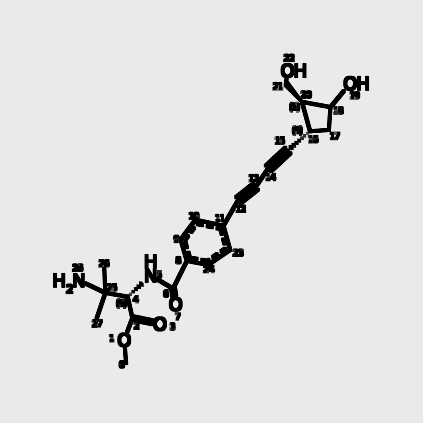 COC(=O)[C@@H](NC(=O)c1ccc(C#CC#C[C@H]2CC(O)[C@@H]2CO)cc1)C(C)(C)N